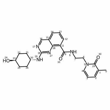 Cc1cccn(CCNC(=O)c2cccc3cnc(N[C@H]4CC[C@H](O)CC4)nc23)c1=O